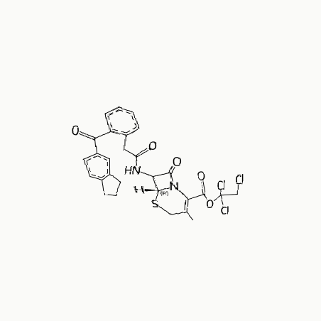 CC1=C(C(=O)OC(Cl)(Cl)CCl)N2C(=O)C(NC(=O)Cc3ccccc3C(=O)c3ccc4c(c3)CCC4)[C@H]2SC1